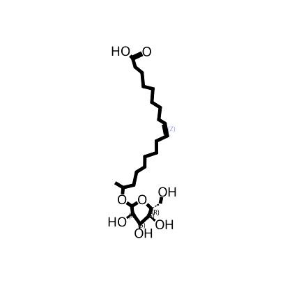 CC(CCCCCC/C=C\CCCCCCCC(=O)O)OC1O[C@H](CO)[C@@H](O)[C@H](O)[C@H]1O